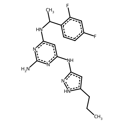 CCCc1cc(Nc2cc(NC(C)c3ccc(F)cc3F)nc(N)n2)n[nH]1